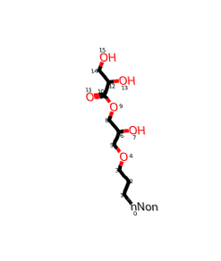 CCCCCCCCCCCCOCC(O)COC(=O)C(O)CO